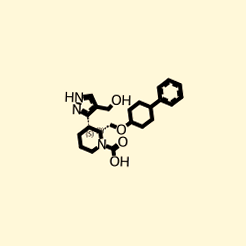 O=C(O)N1CCC[C@H](c2n[nH]cc2CO)[C@@H]1COC1CCC(c2ccccc2)CC1